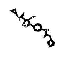 CCCc1c(C(=O)NC2CC2)nnn1-c1ccc(NC(=O)Cc2ccsc2)cc1